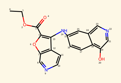 CCOC(=O)c1oc2cnccc2c1Nc1ccc2c(O)cncc2c1